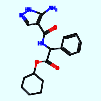 Nc1[nH]ncc1C(=O)NC(C(=O)OC1CCCCC1)c1ccccc1